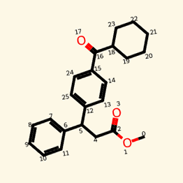 COC(=O)CC(c1ccccc1)c1ccc(C(=O)C2CCCCC2)cc1